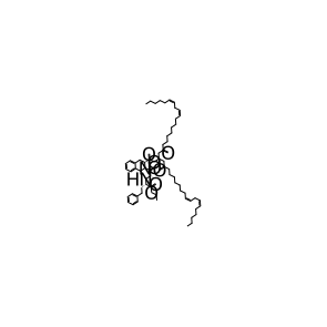 CCCCC/C=C\C/C=C\CCCCCCCC(=O)CC(CC(=O)CCCCCCC/C=C\C/C=C\CCCCC)OC(=O)[C@@H]1Cc2ccccc2CN1C(=O)[C@H](C)N[C@@H](CCc1ccccc1)C(=O)OCC